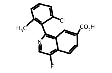 Cc1cccc(Cl)c1-c1ncc(F)c2ccc(C(=O)O)cc12